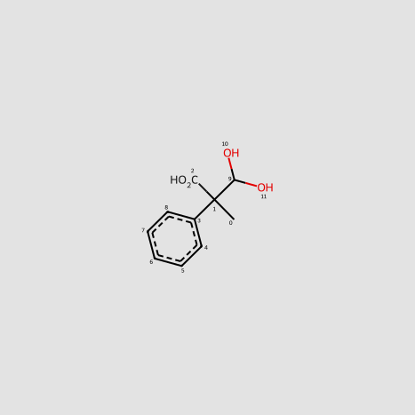 CC(C(=O)O)(c1ccccc1)C(O)O